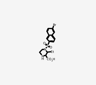 CCC1C(C(=O)O)NCCN1S(=O)(=O)c1ccc2cc(Br)ccc2c1